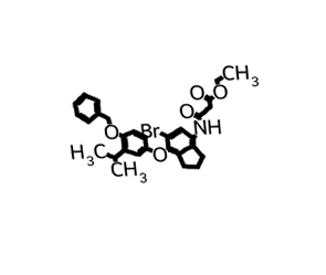 CCOC(=O)CC(=O)Nc1cc(Br)c(Oc2ccc(OCc3ccccc3)c(C(C)C)c2)c2c1CCC2